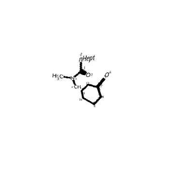 CCCCCCCC(=O)N(C)C.O=C1CCCCC1